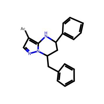 CC(=O)c1cnn2c1NC(c1ccccc1)CC2Cc1ccccc1